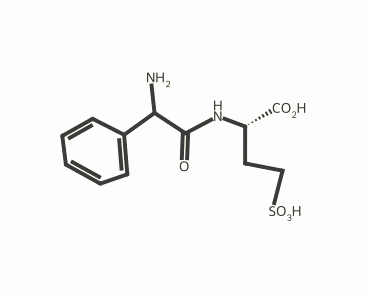 NC(C(=O)N[C@@H](CCS(=O)(=O)O)C(=O)O)c1ccccc1